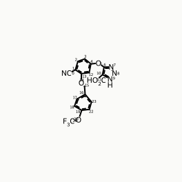 N#Cc1ccc(Oc2nn[nH]c2C(=O)O)cc1OCc1ccc(OC(F)(F)F)cc1